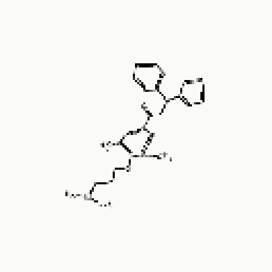 Cc1cc(C(=O)CC(c2ccccc2)c2ccccc2)cc(C)c1OCCCN(C)C